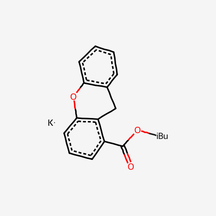 CCC(C)OC(=O)c1cccc2c1Cc1ccccc1O2.[K]